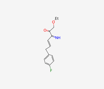 CCOCC(=O)C(=N)/C=C/Cc1ccc(F)cc1